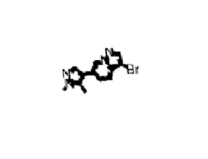 Cc1c(-c2ccc3c(Br)cnn3c2)cnn1C